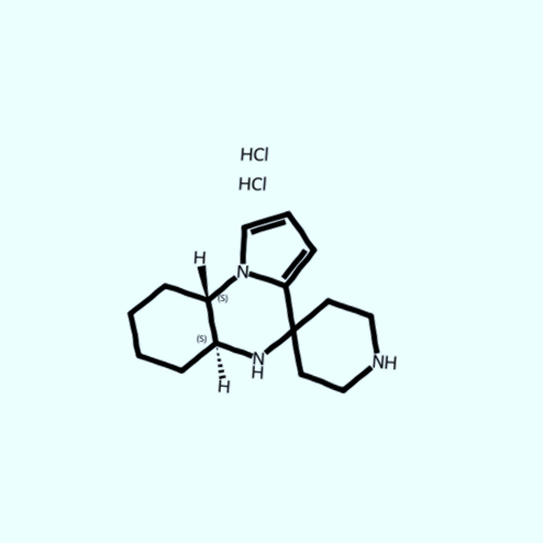 Cl.Cl.c1cc2n(c1)[C@H]1CCCC[C@@H]1NC21CCNCC1